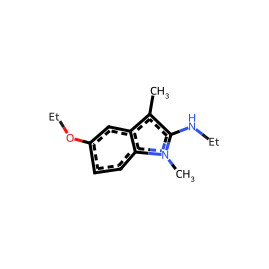 CCNc1c(C)c2cc(OCC)ccc2n1C